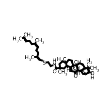 CC(C)=CCCC(C)=CCCC(C)=CCSCCNC(=O)C1(C)CC[C@]2(C)CC[C@]3(C)C(=CC(=O)[C@@H]4[C@@]5(C)CC[C@H](O)C(C)(C)C5CC[C@]43C)[C@@H]2C1